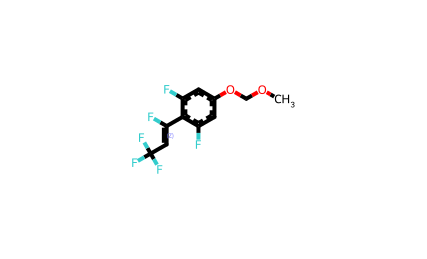 COCOc1cc(F)c(/C(F)=C/C(F)(F)F)c(F)c1